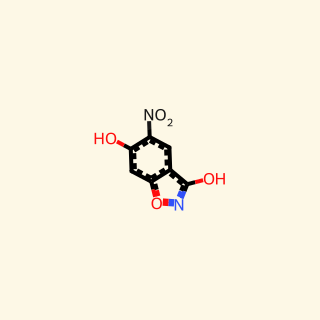 O=[N+]([O-])c1cc2c(O)noc2cc1O